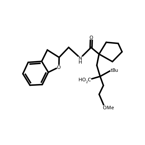 COCCC(CC1(C(=O)NCC2Cc3ccccc3O2)CCCC1)(C(=O)O)C(C)(C)C